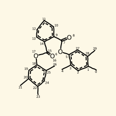 Cc1cc(C)c(OC(=O)c2ccccc2C(=O)Oc2cc(C)c(C)cc2C)cc1C